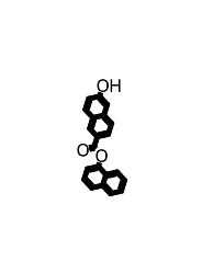 O=C(Oc1cccc2ccccc12)c1ccc2cc(O)ccc2c1